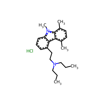 CCCN(CCC)CCc1cccc2c1c1c(C)ccc(C)c1n2C.Cl